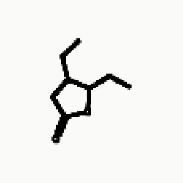 CCC1CC(=O)OC1CC